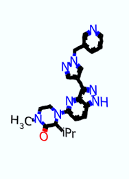 CC(C)C1C(=O)N(C)CCN1c1ccc2[nH]nc(-c3cnn(Cc4cccnc4)c3)c2n1